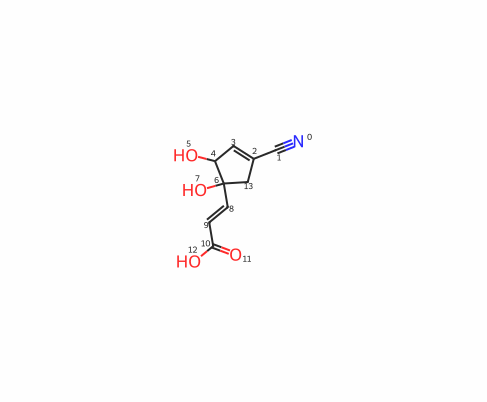 N#CC1=CC(O)C(O)(/C=C/C(=O)O)C1